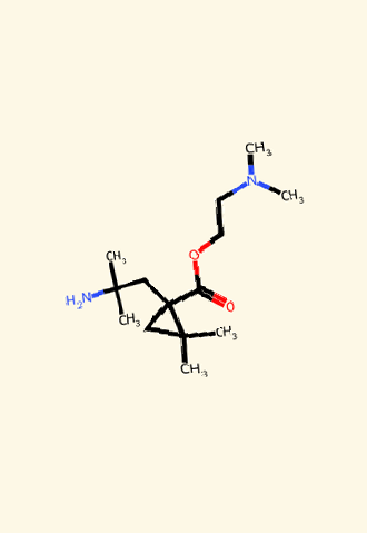 CN(C)CCOC(=O)C1(CC(C)(C)N)CC1(C)C